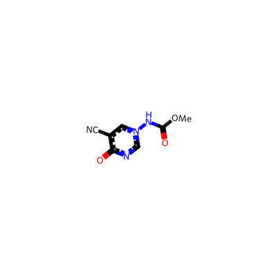 COC(=O)Nn1cnc(=O)c(C#N)c1